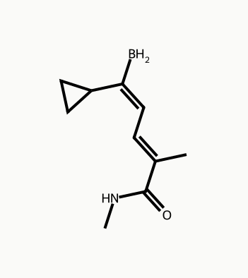 B/C(=C/C=C(\C)C(=O)NC)C1CC1